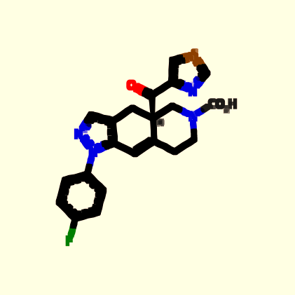 O=C(O)N1CCC2=Cc3c(cnn3-c3ccc(F)cc3)C[C@]2(C(=O)c2cscn2)C1